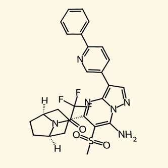 CS(=O)(=O)c1c([C@@H]2C[C@H]3CC[C@@H](C2)N3C(=O)C(F)(F)F)nc2c(-c3ccc(-c4ccccc4)nc3)cnn2c1N